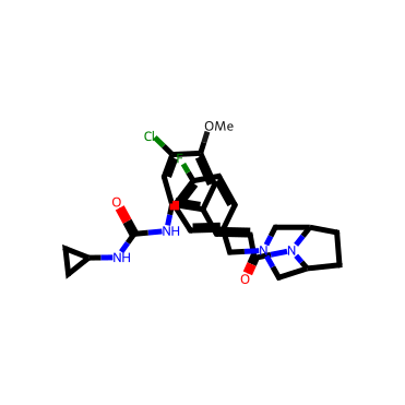 COc1cc(C=CC(=O)N2C3CCC2CN(Cc2ccc(F)cc2)C3)c(NC(=O)NC2CC2)cc1Cl